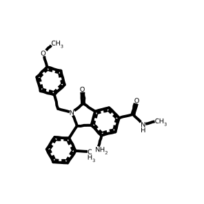 CNC(=O)c1cc(N)c2c(c1)C(=O)N(Cc1ccc(OC)cc1)C2c1ccccc1C